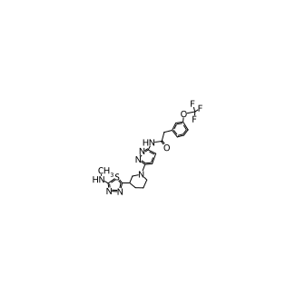 CNc1nnc(C2CCCN(c3ccc(NC(=O)Cc4cccc(OC(F)(F)F)c4)nn3)C2)s1